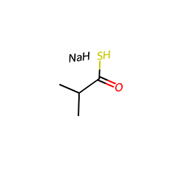 CC(C)C(=O)S.[NaH]